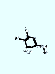 CCNc1ccc(Br)c(Cl)c1.Cl